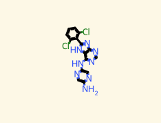 Nc1cnc(Nc2ncnc3nc(-c4c(Cl)cccc4Cl)[nH]c23)cn1